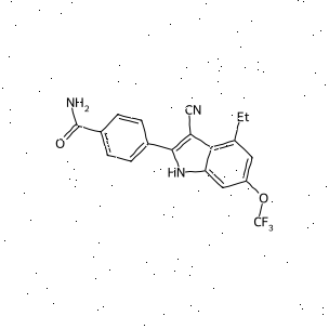 CCc1cc(OC(F)(F)F)cc2[nH]c(-c3ccc(C(N)=O)cc3)c(C#N)c12